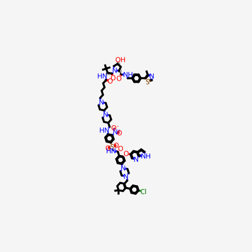 Cc1ncsc1-c1ccc(CNC(=O)[C@@H]2C[C@@H](O)CN2C(=O)[C@@H](NC(=O)CCCCCN2CCC(N3CCC(CNc4ccc(S(=O)(=O)NC(=O)c5ccc(N6CCN(CC7=C(c8ccc(Cl)cc8)CC(C)(C)CC7)CC6)cc5Oc5cnc6[nH]ccc6c5)cc4[N+](=O)[O-])CC3)CC2)C(C)(C)C)cc1